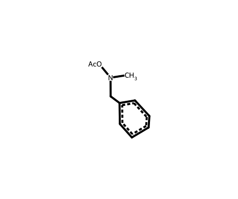 CC(=O)ON(C)Cc1ccccc1